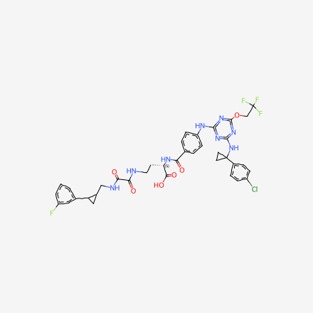 O=C(NCC[C@H](NC(=O)c1ccc(Nc2nc(NC3(c4ccc(Cl)cc4)CC3)nc(OCC(F)(F)F)n2)cc1)C(=O)O)C(=O)NCC1CC1c1cccc(F)c1